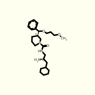 COCCCOC(c1ccccc1)[C@@H]1CCCN(C(=O)NC[C@H](N)CC2CCCCC2)C1